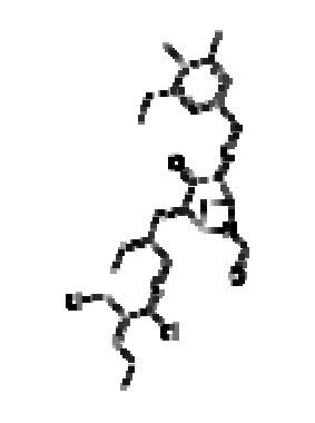 C/C=C(C=C=C(Cl)/C(=C\CC)CCl)/C=C1/C(=O)C(=C=Cc2cc(C)c(C)c(CC)c2)C2CC1N2C=O